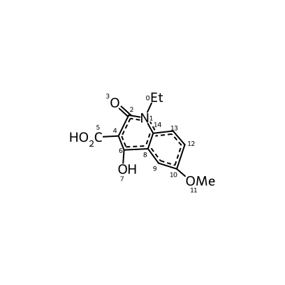 CCn1c(=O)c(C(=O)O)c(O)c2cc(OC)ccc21